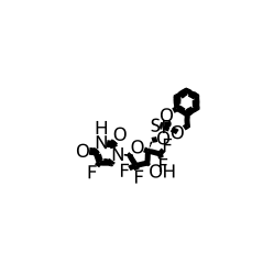 O=c1[nH]c(=O)n([C@@H]2O[C@@](COP3(=S)OCc4ccccc4O3)(C(F)F)[C@@H](O)C2(F)F)cc1F